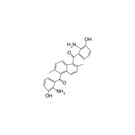 Cc1ccc2c(C(=O)c3cccc(O)c3N)c(C)ccc2c1C(=O)c1cccc(O)c1N